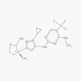 CNc1nc(Nc2cc([C@]3(C)CCOC3O)nn2C2CC2)ncc1C(F)(F)F